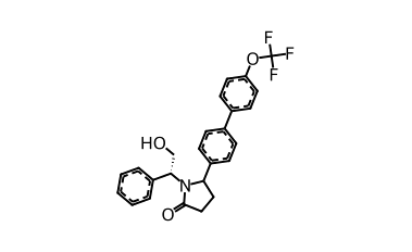 O=C1CCC(c2ccc(-c3ccc(OC(F)(F)F)cc3)cc2)N1[C@@H](CO)c1ccccc1